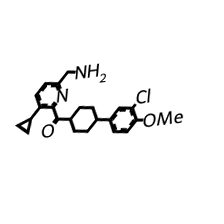 COc1ccc(C2CCC(C(=O)c3nc(CN)ccc3C3CC3)CC2)cc1Cl